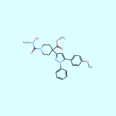 COC(=O)C1(c2cc(-c3ccc(OC)cc3)n(-c3ccccc3)n2)CCN(C(=O)N(C)O)CC1